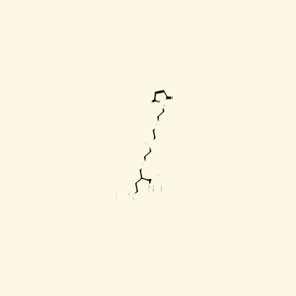 NCCC(COCCOCCOCCN1C(=O)C=CC1=O)C(N)=O